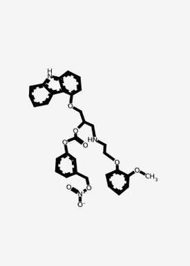 COc1ccccc1OCCNCC(COc1cccc2[nH]c3ccccc3c12)OC(=O)Oc1cccc(CO[N+](=O)[O-])c1